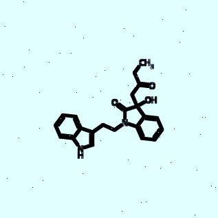 CCC(=O)CC1(O)C(=O)N(CCc2c[nH]c3ccccc23)c2ccccc21